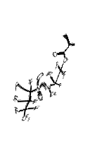 C=C(C)C(=O)OC(F)(F)C(F)(F)N(CC)S(=O)(=O)C(F)(F)C(F)(F)C(F)(F)C(F)(F)F